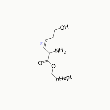 CCCCCCCCOC(=O)C(N)/C=C\CCO